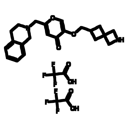 O=C(O)C(F)(F)F.O=C(O)C(F)(F)F.O=c1cc(CN2CCc3ccccc3C2)occ1OCC1CC2(CNC2)C1